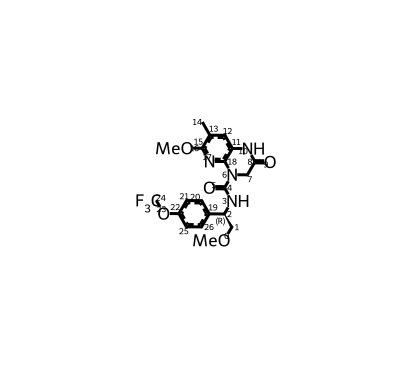 COC[C@H](NC(=O)N1CC(=O)Nc2cc(C)c(OC)nc21)c1ccc(OC(F)(F)F)cc1